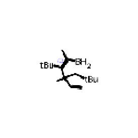 B/C(C)=C(/C(C)(C)C)C(C)(C=C)CC(C)(C)C